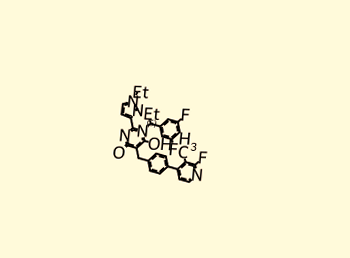 CC[C@@H](c1cc(F)cc(F)c1)n1c(-c2ccn(CC)n2)nc(=O)c(Cc2ccc(-c3ccnc(F)c3C)cc2)c1O